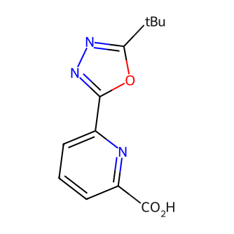 CC(C)(C)c1nnc(-c2cccc(C(=O)O)n2)o1